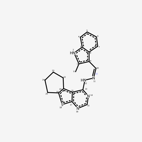 Cc1[nH]c2ccccc2c1/C=N\Nc1ncnc2sc3c(c12)CCCC3